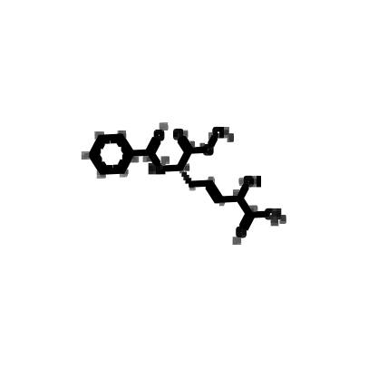 COC(=O)[C@H](CC=CC(O)C(C)=O)NC(=O)c1ccccc1